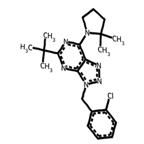 CC(C)(C)c1nc(N2CCCC2(C)C)c2nnn(Cc3ccccc3Cl)c2n1